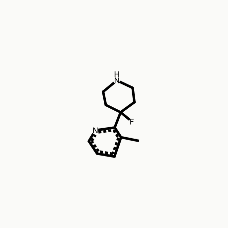 Cc1cccnc1C1(F)CCNCC1